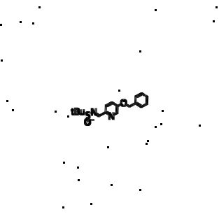 CC(C)(C)[S@@+]([O-])/N=C/c1ccc(OCc2ccccc2)cn1